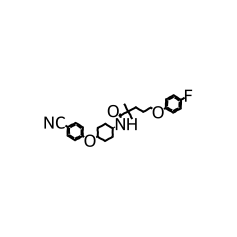 CC(C)(CCCOc1ccc(F)cc1)C(=O)N[C@H]1CC[C@@H](Oc2ccc(C#N)cc2)CC1